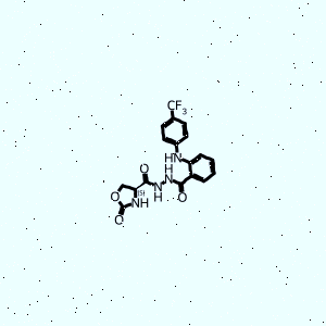 O=C1N[C@H](C(=O)NNC(=O)c2ccccc2Nc2ccc(C(F)(F)F)cc2)CO1